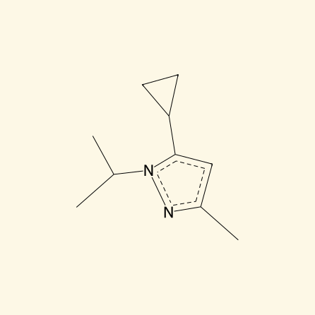 Cc1cc(C2CC2)n(C(C)C)n1